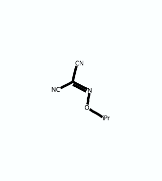 CC(C)ON=C(C#N)C#N